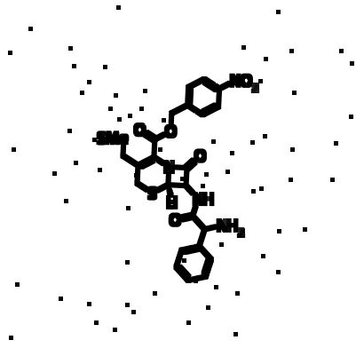 CSCC1=C(C(=O)OCc2ccc([N+](=O)[O-])cc2)N2C(=O)C(NC(=O)C(N)c3ccccc3)[C@@H]2SC1